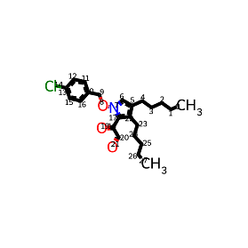 CCCCCc1cn(OCc2ccc(Cl)cc2)c(C(=O)C=O)c1CCCCC